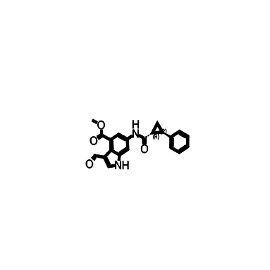 COC(=O)c1cc(NC(=O)[C@@H]2C[C@H]2c2ccccc2)cc2[nH]cc(C=O)c12